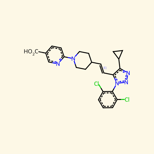 O=C(O)c1ccc(N2CCC(/C=C/c3c(C4CC4)nnn3-c3c(Cl)cccc3Cl)CC2)nc1